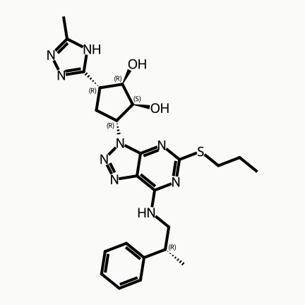 CCCSc1nc(NC[C@H](C)c2ccccc2)c2nnn([C@@H]3C[C@H](c4nnc(C)[nH]4)[C@@H](O)[C@H]3O)c2n1